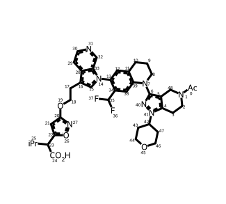 CC(=O)N1CCc2c(c(N3CCCc4cc(-n5cc(CCOc6cc(C(C(=O)O)C(C)C)on6)c6ccncc65)c(C(F)F)cc43)nn2C2CCOCC2)C1